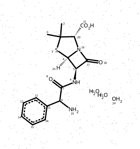 CC1(C)S[C@@H]2[C@H](NC(=O)C(N)c3ccccc3)C(=O)N2[C@H]1C(=O)O.O.O.O